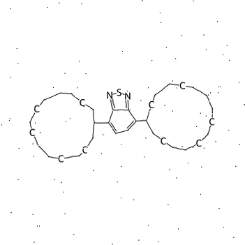 c1cc(C2CCCCCCCCCCCCCC2)c2nsnc2c1C1CCCCCCCCCCCCCC1